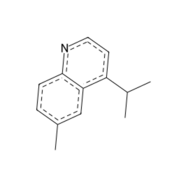 Cc1ccc2nccc(C(C)C)c2c1